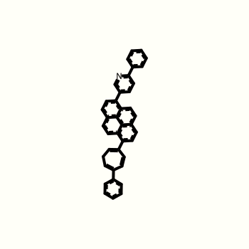 C1=CC(c2ccc3ccc4c(-c5ccc(-c6ccccc6)nc5)ccc5ccc2c3c54)=CCC=C1c1ccccc1